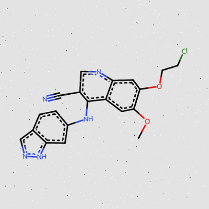 COc1cc2c(Nc3ccc4cn[nH]c4c3)c(C#N)cnc2cc1OCCCl